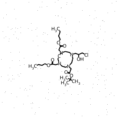 CCCCOC(=O)CN1CCN(CC(=O)OCCCC)CCN(CC(O)CCl)CCN(CC(=O)OC(C)(C)C)CC1